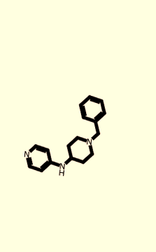 c1ccc(CN2CCC(Nc3ccncc3)CC2)cc1